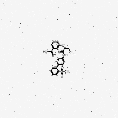 CCC(Oc1cccc(C(=N)N)c1)C(=O)Nc1ccc(-c2ccccc2S(C)(=O)=O)cc1